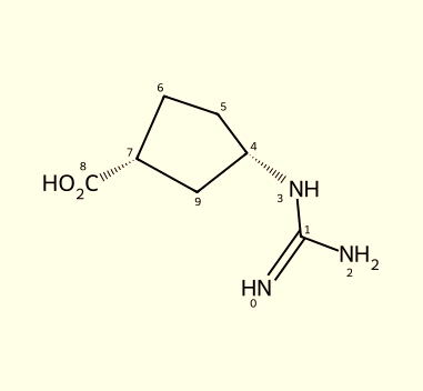 N=C(N)N[C@H]1CC[C@@H](C(=O)O)C1